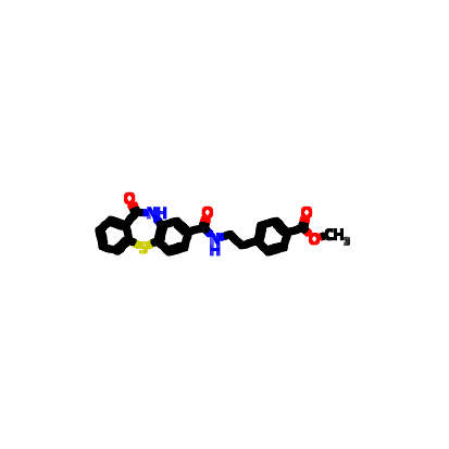 COC(=O)c1ccc(CCNC(=O)c2ccc3c(c2)NC(=O)c2ccccc2S3)cc1